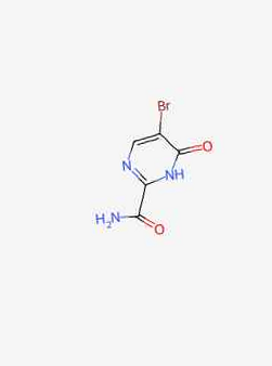 NC(=O)c1ncc(Br)c(=O)[nH]1